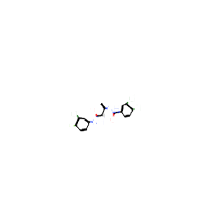 C=C(NC(=O)c1ccc(Cl)c(Cl)c1)[C@H](C)C(=O)Nc1ccc(F)c(Cl)c1